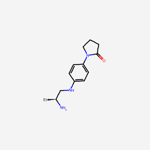 CC[C@H](N)CNc1ccc(N2CCCC2=O)cc1